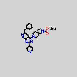 CC(C)(C)OC(=O)N1CCC2(CCN(c3nc(-c4ccncc4)nc4cnc(Cc5ccccc5)cc34)CC2)C1